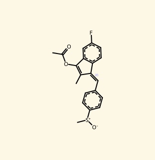 CC(=O)OC1=C(C)/C(=C\c2ccc([S+](C)[O-])cc2)c2ccc(F)cc21